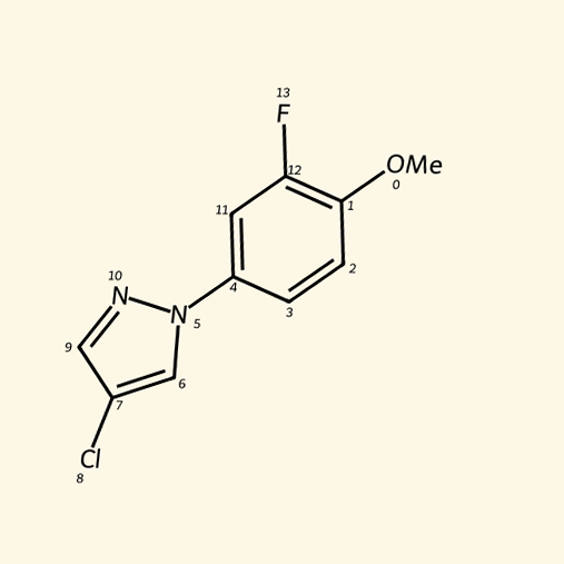 COc1ccc(-n2cc(Cl)cn2)cc1F